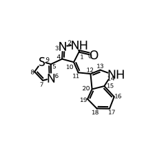 O=C1NN=C(c2nccs2)C1=Cc1c[nH]c2ccccc12